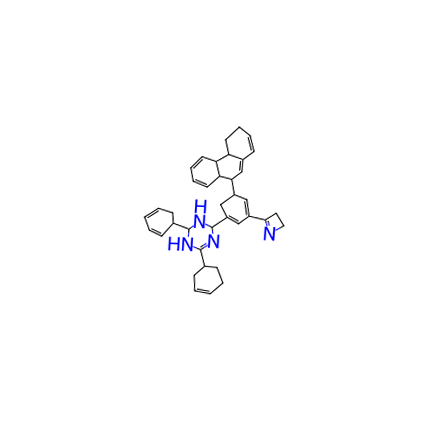 C1=CCC(C2NC(C3CC=CCC3)=NC(C3=CC(C4=NCC4)=CC(C4C=C5C=CCCC5C5C=CC=CC45)C3)N2)C=C1